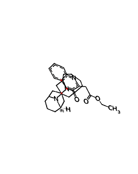 CCOC(=O)Cc1nc2ccccc2n(C2CC3CCC[C@H](C2)N3C2CC3CCCCC(C3)C2)c1=O